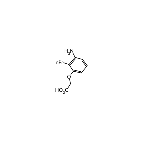 CCCc1c(N)cccc1OCC(=O)O